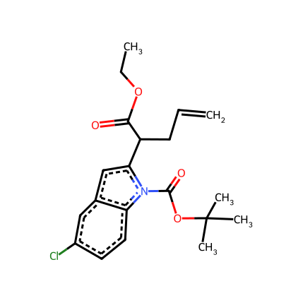 C=CCC(C(=O)OCC)c1cc2cc(Cl)ccc2n1C(=O)OC(C)(C)C